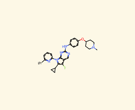 CC(C)c1cccc(-n2c(C3CC3)c(F)c3cnc(Nc4ccc(OC5CCN(C)CC5)cc4)nc32)n1